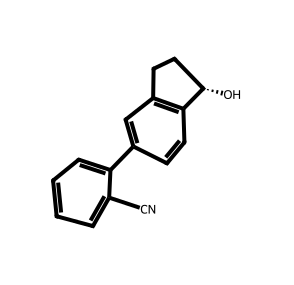 N#Cc1ccccc1-c1ccc2c(c1)CC[C@@H]2O